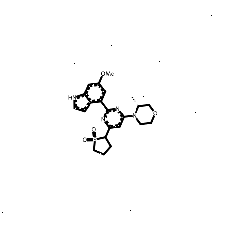 COc1cc(-c2nc(C3CCCS3(=O)=O)cc(N3CCOC[C@H]3C)n2)c2cc[nH]c2c1